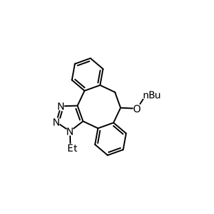 CCCCOC1Cc2ccccc2-c2nnn(CC)c2-c2ccccc21